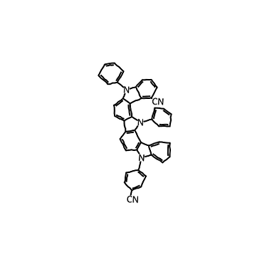 N#Cc1ccc(-n2c3ccccc3c3c2ccc2c4ccc5c(c6c(C#N)cccc6n5-c5ccccc5)c4n(-c4ccccc4)c23)cc1